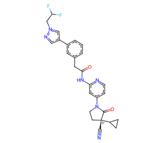 N#C[C@@]1(C2CC2)CCN(c2ccnc(NC(=O)Cc3cccc(-c4cnn(CC(F)F)c4)c3)c2)C1=O